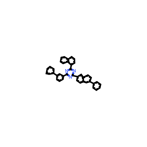 c1ccc(-c2cccc(-c3nc(-c4ccc5cc(-c6ccccc6)ccc5c4)nc(-c4cccc5ccccc45)n3)c2)cc1